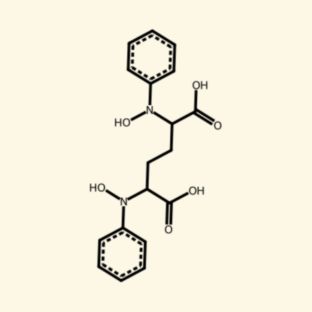 O=C(O)C(CCC(C(=O)O)N(O)c1ccccc1)N(O)c1ccccc1